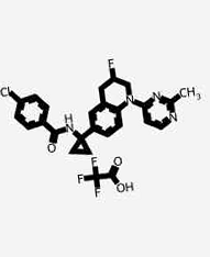 Cc1nccc(N2CC(F)Cc3cc(C4(NC(=O)c5ccc(Cl)cc5)CC4)ccc32)n1.O=C(O)C(F)(F)F